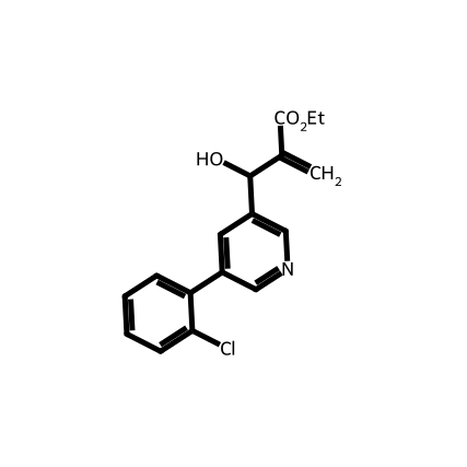 C=C(C(=O)OCC)C(O)c1cncc(-c2ccccc2Cl)c1